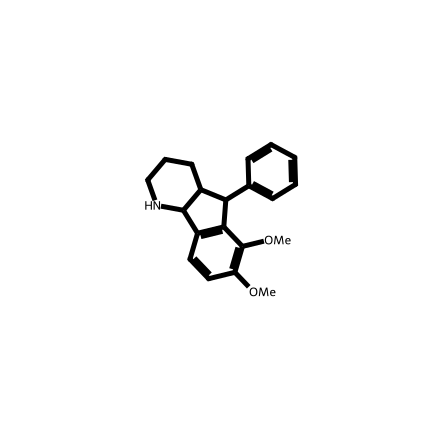 COc1ccc2c(c1OC)C(c1ccccc1)C1CCCNC21